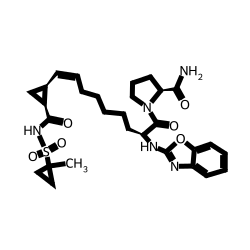 CC1(S(=O)(=O)NC(=O)[C@H]2C[C@H]2/C=C\CCCCC[C@H](Nc2nc3ccccc3o2)C(=O)N2CCC[C@H]2C(N)=O)CC1